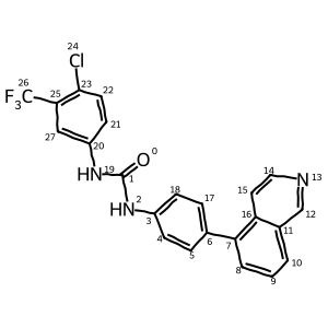 O=C(Nc1ccc(-c2cccc3cnccc23)cc1)Nc1ccc(Cl)c(C(F)(F)F)c1